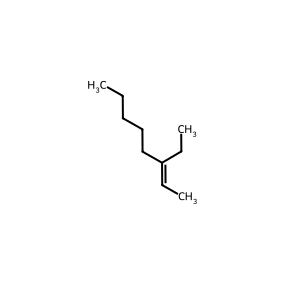 C/C=C(\CC)CCCCC